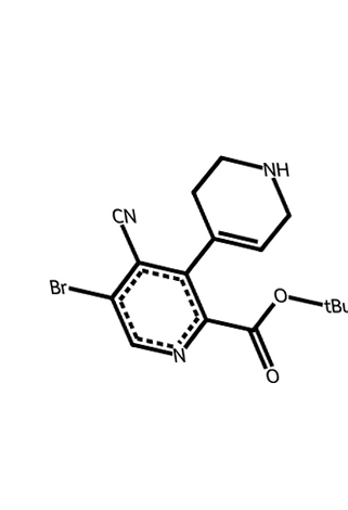 CC(C)(C)OC(=O)c1ncc(Br)c(C#N)c1C1=CCNCC1